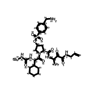 C=CCNC(=O)C(=O)C(CCC)NC(=O)[C@@H]1CC(OS(=O)(=O)c2ccc(CN)cc2)CN1C(=O)[C@@H](NC(=O)NC(C)(C)C)C1CCCCC1